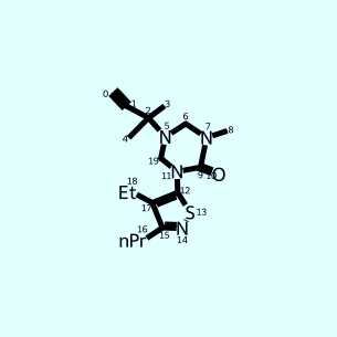 C#CC(C)(C)N1CN(C)C(=O)N(c2snc(CCC)c2CC)C1